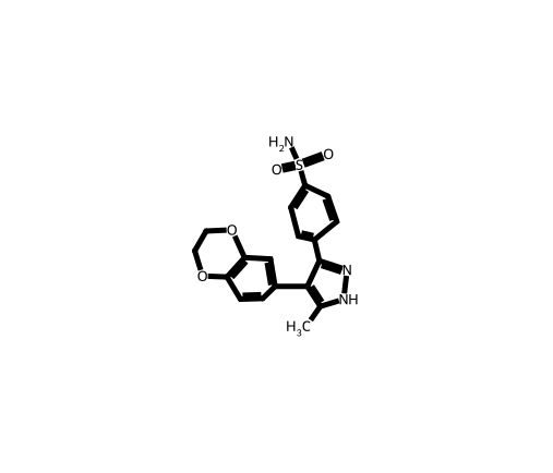 Cc1[nH]nc(-c2ccc(S(N)(=O)=O)cc2)c1-c1ccc2c(c1)OCCO2